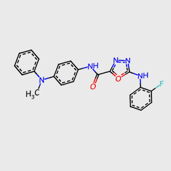 CN(c1ccccc1)c1ccc(NC(=O)c2nnc(Nc3ccccc3F)o2)cc1